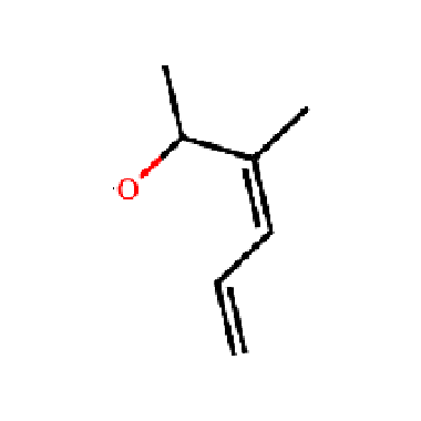 C=CC=C(C)C(C)[O]